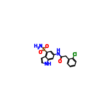 NS(=O)(=O)c1cc(NC(=O)Cc2ccccc2Cl)cc2[nH]ccc12